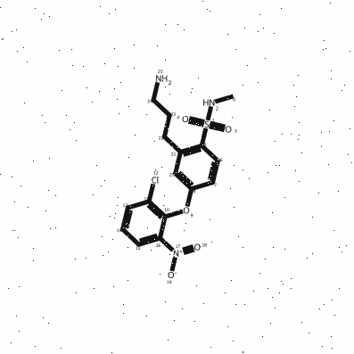 CNS(=O)(=O)c1ccc(Oc2c(Cl)cccc2[N+](=O)[O-])cc1CCCN